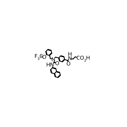 O=C(O)CCNC(=O)c1ccc(CN(Cc2ccccc2OC(F)(F)F)C(=O)Nc2ccc3ccccc3c2)cc1